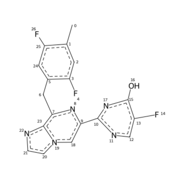 Cc1cc(F)c(Cc2nc(-c3ncc(F)c(O)n3)cn3ccnc23)cc1F